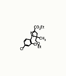 CCOCC1(C)CC(C(=O)OCC)=NN1c1ccc(Cl)cc1Cl